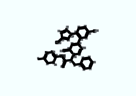 CC1=NN=C(NC(=O)[C@H](Cc2ccccc2)n2cnc(-c3cc(Cl)ccc3-n3cc(Cl)nn3)cc2=O)SC1